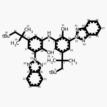 CC(C)(C)CC(C)(C)c1cc(Nc2cc(C(C)(C)CC(C)(C)C)cc(-n3nc4ccccc4n3)c2O)c(O)c(-n2nc3ccccc3n2)c1